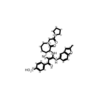 Cc1cc2cc(NC(N[C@H]3CCCCN(CC(=O)N4CCCC4)C3=O)=C(C#N)C(=O)c3ccc(C(=O)O)cc3)ccc2o1